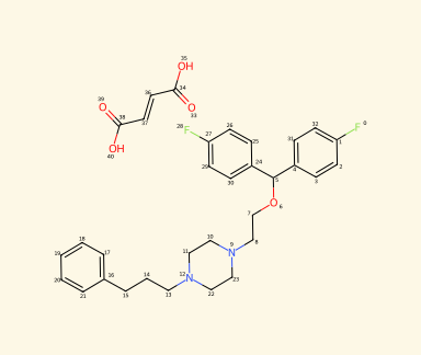 Fc1ccc(C(OCCN2CCN(CCCc3ccccc3)CC2)c2ccc(F)cc2)cc1.O=C(O)C=CC(=O)O